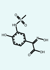 CS(=O)(=O)Nc1cc(C(=NO)C(=O)O)ccc1O